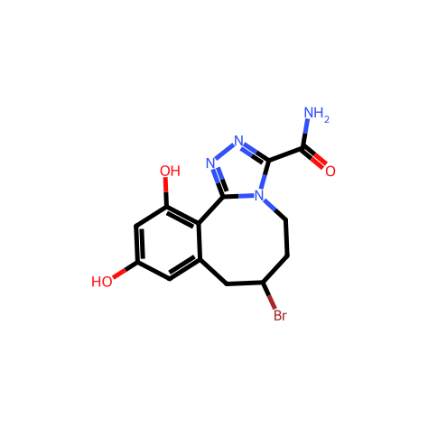 NC(=O)c1nnc2n1CCC(Br)Cc1cc(O)cc(O)c1-2